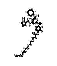 CCC(Nc1nc(Nc2ccc(OC(=O)CCOCCOCCOCCOC)c(F)c2)nc(NC2CCCCCC2)n1)C1CCCN1